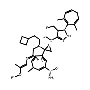 CC1=CCC=CC(C)=C1[C@H]1NN=C(OC[C@@H](CC2CCC2)N(C/C(N)=N/C=C(\C)OC(C)C)C2(C3=CC([S+](N)[O-])=CC(C)C=C3)CO2)C1CF